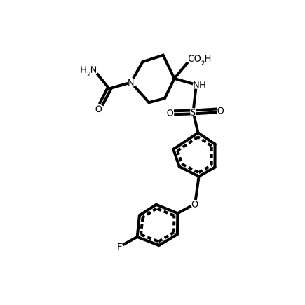 NC(=O)N1CCC(NS(=O)(=O)c2ccc(Oc3ccc(F)cc3)cc2)(C(=O)O)CC1